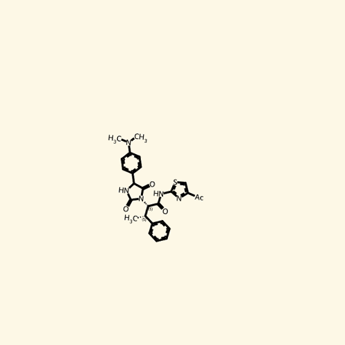 CC(=O)c1csc(NC(=O)[C@H]([C@@H](C)c2ccccc2)N2C(=O)NC(c3ccc(N(C)C)cc3)C2=O)n1